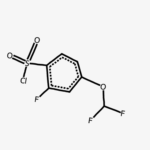 O=S(=O)(Cl)c1ccc(OC(F)F)cc1F